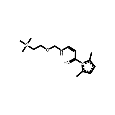 Cc1ccc(C)n1C(=N)/C=C\NCOCC[Si](C)(C)C